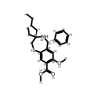 CCCC[C@]1(CC)CSc2cc(C(=O)OC)c(OC)cc2[C@@H](c2ccccc2)N1